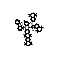 Cc1cc2c3c(c1)N(c1cccc4c1oc1ccccc14)c1cc4c(cc1B3c1sc3c5c(ccc3c1N2c1ccc2c(c1)C(C)(C)CCC2(C)C)C(C)(C)CCC5(C)C)C(C)(C)c1cc2c(cc1C4(C)C)C(C)(C)CCC2(C)C